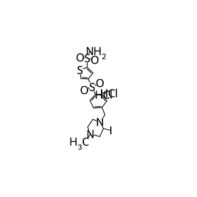 CN1CCN(Cc2ccc(S(=O)(=O)c3csc(S(N)(=O)=O)c3)cc2)C(I)C1.Cl.Cl